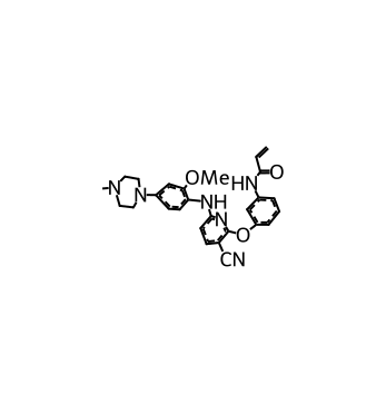 C=CC(=O)Nc1cccc(Oc2nc(Nc3ccc(N4CCN(C)CC4)cc3OC)ccc2C#N)c1